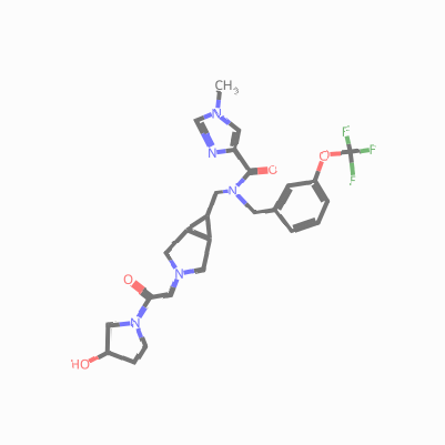 Cn1cnc(C(=O)N(Cc2cccc(OC(F)(F)F)c2)CC2C3CN(CC(=O)N4CCC(O)C4)CC32)c1